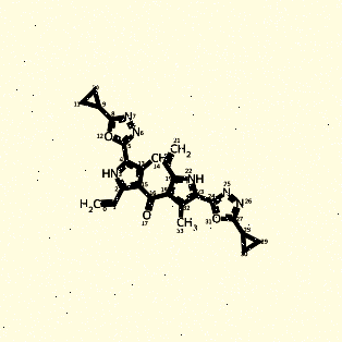 C=Cc1[nH]c(-c2nnc(C3CC3)o2)c(C)c1C(=O)c1c(C=C)[nH]c(-c2nnc(C3CC3)o2)c1C